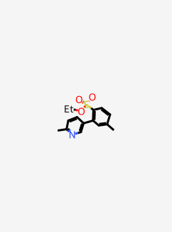 CCOS(=O)(=O)c1ccc(C)cc1-c1ccc(C)nc1